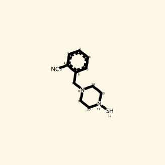 N#Cc1ccccc1CN1CCN(S)CC1